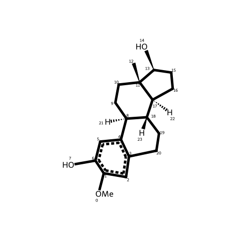 COc1cc2c(cc1O)[C@H]1CC[C@]3(C)[C@@H](O)CC[C@H]3[C@@H]1CC2